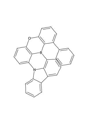 c1ccc(-c2cccc3c2B2c4c(cccc4-n4c5ccccc5c5cccc2c54)O3)cc1